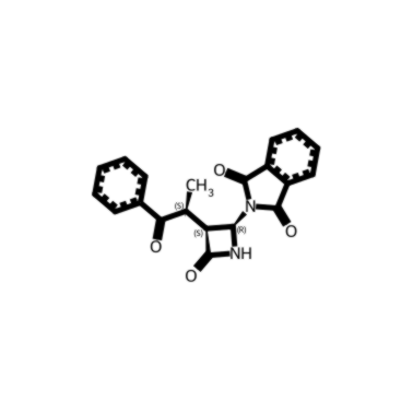 C[C@H](C(=O)c1ccccc1)[C@@H]1C(=O)N[C@@H]1N1C(=O)c2ccccc2C1=O